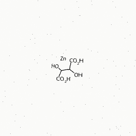 O=C(O)C(O)C(O)C(=O)O.[Zn]